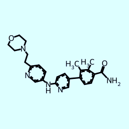 Cc1c(C(N)=O)ccc(-c2ccc(Nc3ccc(CCN4CCOCC4)nc3)nc2)c1C